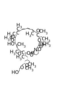 CCC1CC(OC)/C(C)=C/C=C/C=C/[C@@H](C)C[C@@H](C)C(=O)C(OC)[C@H](O)/C(C)=C/[C@@H](C)C(=O)CC([C@@H](C)C[C@H](CC)C[C@@H](COCCO)OC)OC(=O)[C@@H]2CCCCN2C(=O)C(=O)C(O)(CC)O1